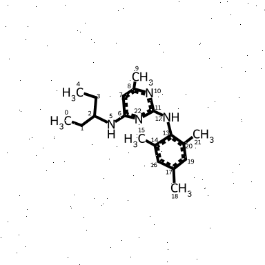 CCC(CC)Nc1cc(C)nc(Nc2c(C)cc(C)cc2C)n1